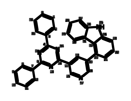 c1ccc(-c2nc(-c3ccccc3)nc(-c3cncc(-c4cccc5[nH]c6ccccc6c45)c3)n2)cc1